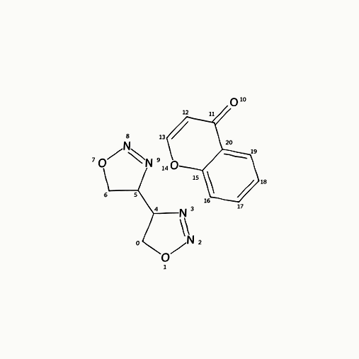 C1ON=NC1C1CON=N1.O=c1ccoc2ccccc12